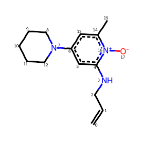 C=CCNc1cc(N2CCCCC2)cc(C)[n+]1[O-]